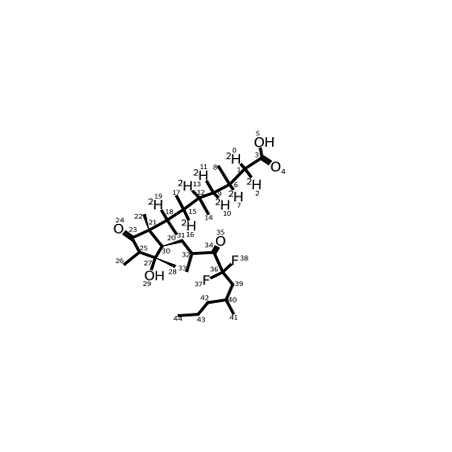 [2H]C([2H])(C(=O)O)C([2H])(C)C([2H])([2H])C([2H])(C)C([2H])(C)C([2H])(C)[C@@]1(C)C(=O)C(C)[C@@](C)(O)[C@@H]1CC(C)C(=O)C(F)(F)CC(C)CCC